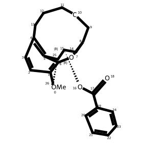 COc1ccc2c3c1OC(CCCCC2)C[C@@H](OC(=O)c1ccccc1)[C@@H]3C